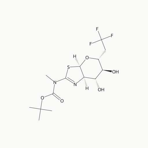 CN(C(=O)OC(C)(C)C)C1=N[C@@H]2[C@@H](O)[C@H](O)[C@@H](CC(F)(F)F)O[C@@H]2S1